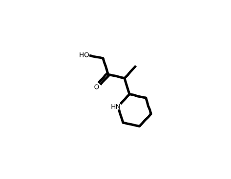 CC(C(=O)CO)C1CCCCN1